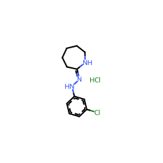 Cl.Clc1cccc(NN=C2CCCCCN2)c1